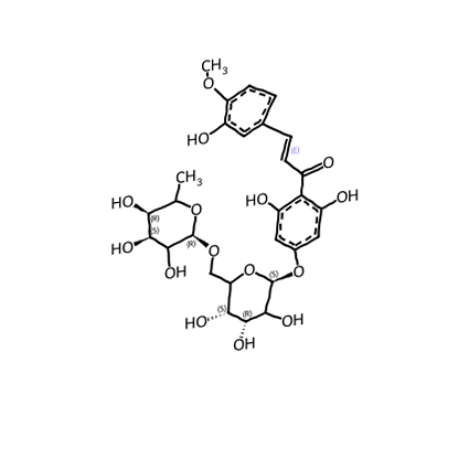 COc1ccc(/C=C/C(=O)c2c(O)cc(O[C@@H]3OC(CO[C@@H]4OC(C)[C@H](O)[C@H](O)C4O)[C@@H](O)[C@@H](O)C3O)cc2O)cc1O